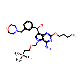 CCCCOc1nc(N)c2c(n1)c(C(O)c1cccc(CN3CCOCC3)c1)cn2COCC[Si](C)(C)C